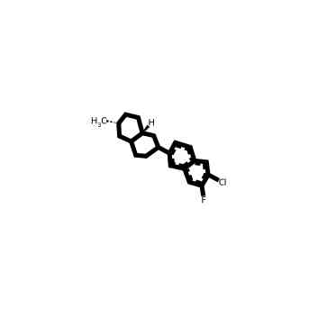 C[C@@H]1CC[C@@H]2CC(c3ccc4cc(Cl)c(F)cc4c3)CCC2C1